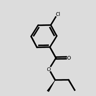 CC[C@@H](C)OC(=O)c1cccc(Cl)c1